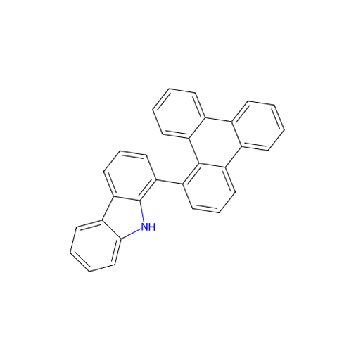 c1ccc2c(c1)[nH]c1c(-c3cccc4c5ccccc5c5ccccc5c34)cccc12